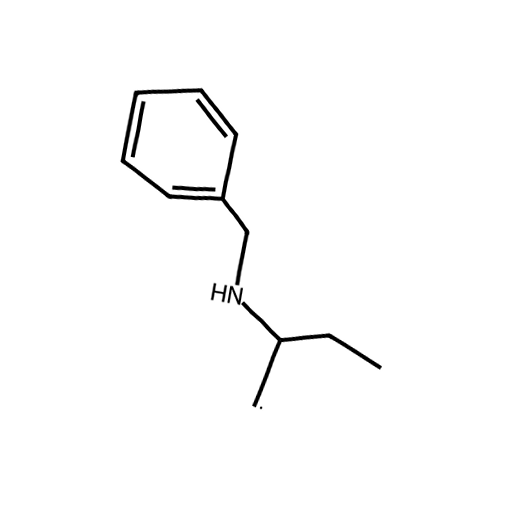 [CH2]C(CC)NCc1ccccc1